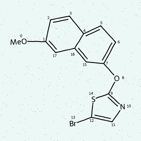 COc1ccc2ccc(Oc3ncc(Br)s3)cc2c1